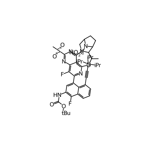 CC1Oc2nc(-c3cc(NC(=O)OC(C)(C)C)c(F)c4cccc(C#C[Si](C(C)C)(C(C)C)C(C)C)c34)c(F)c3nc(S(C)(=O)=O)nc(c23)N2CC3CCC(C12)N3C(=O)O